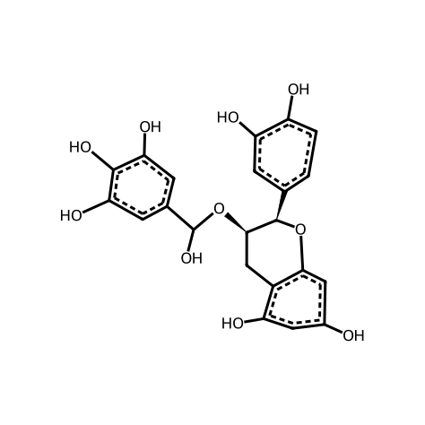 Oc1cc(O)c2c(c1)O[C@H](c1ccc(O)c(O)c1)[C@H](OC(O)c1cc(O)c(O)c(O)c1)C2